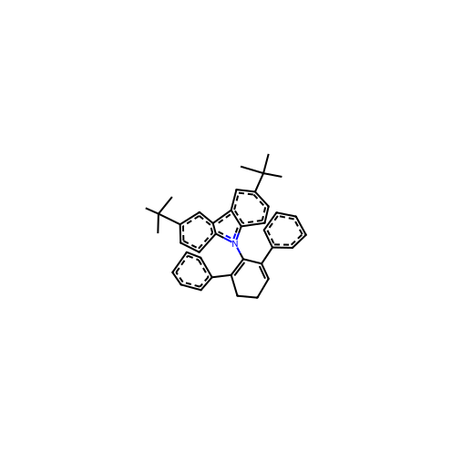 CC(C)(C)c1ccc2c(c1)c1cc(C(C)(C)C)ccc1n2C1=C(c2ccccc2)CCC=C1c1ccccc1